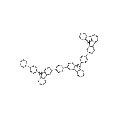 c1ccc(-c2ccc(-n3c4ccccc4c4cc(-c5ccc(-c6ccc7c(c6)c6ccccc6n7-c6ccc(-c7ccc8c9cccc%10c%11ccccc%11n(c8c7)c%109)cc6)cc5)ccc43)cc2)cc1